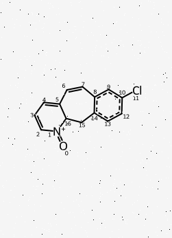 O=[N+]1C=CC=C2C=Cc3cc(Cl)ccc3CC21